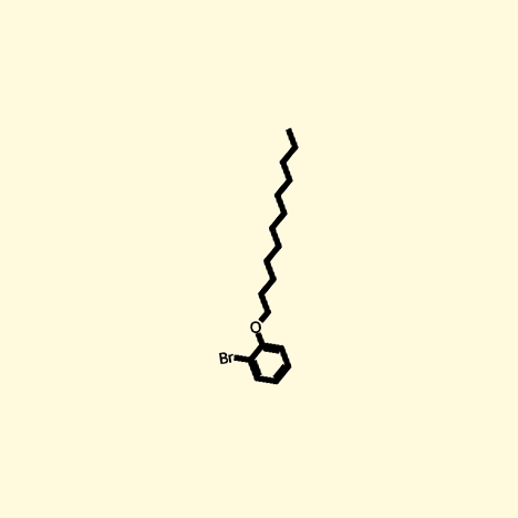 CCCCCCCCCCCCOc1ccccc1Br